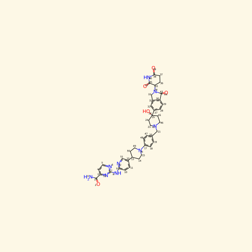 NC(=O)c1ccnc(Nc2ccc(C3CCN(c4ccc(CN5CCC(O)(c6ccc7c(c6)CN(C6CCC(=O)NC6=O)C7=O)CC5)cc4)CC3)cn2)n1